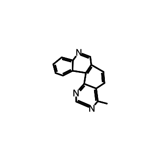 Cc1ncnc2c1ccc1cnc3ccccc3c12